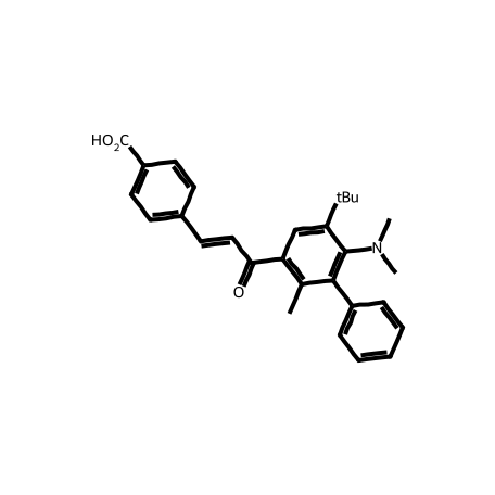 Cc1c(C(=O)/C=C/c2ccc(C(=O)O)cc2)cc(C(C)(C)C)c(N(C)C)c1-c1ccccc1